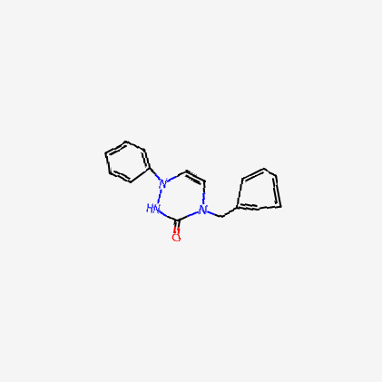 O=C1NN(c2ccccc2)C=CN1Cc1ccccc1